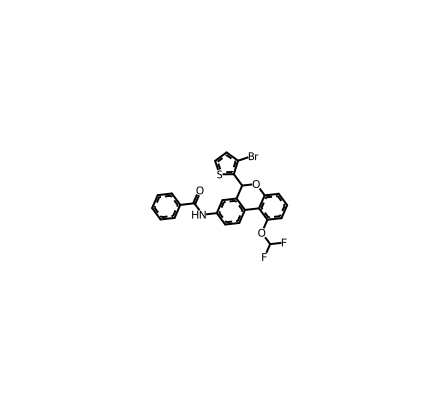 O=C(Nc1ccc2c(c1)C(c1sccc1Br)Oc1cccc(OC(F)F)c1-2)c1ccccc1